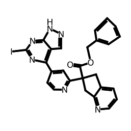 O=C(OCc1ccccc1)C1(c2cc(-c3nc(I)nc4[nH]ncc34)ccn2)Cc2cccnc2C1